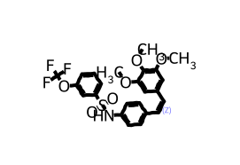 COc1cc(/C=C\c2ccc(NS(=O)(=O)c3cccc(OC(F)(F)F)c3)cc2)cc(OC)c1OC